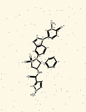 Cn1ccc(C(=O)N[C@H]2CS(=O)(=O)N(c3ccc4c(cnn4-c4ccc(=O)n(C)c4)c3)[C@@H]2c2ccccc2)n1